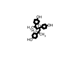 C/C(=C/C(C)(CC(C)(C)c1ccc(O)cc1)c1ccc(O)cc1)c1ccc(O)cc1